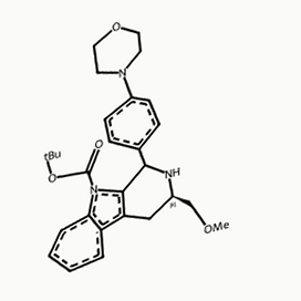 COC[C@H]1Cc2c(n(C(=O)OC(C)(C)C)c3ccccc23)C(c2ccc(N3CCOCC3)cc2)N1